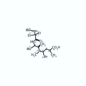 C=C(C(NC(=O)C(CC)(CC)NC(C)CC)C(C)CC)N(C)C(CC(C)C(=O)O)C(C)C